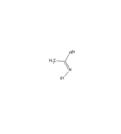 CCCC(C)=NCC